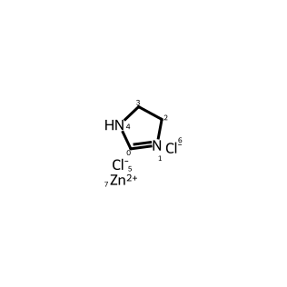 C1=NCCN1.[Cl-].[Cl-].[Zn+2]